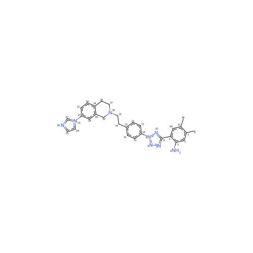 Cc1cc(N)c(-c2nnn(-c3ccc(CCN4CCc5ccc(-n6ccnc6)cc5C4)cc3)n2)cc1C